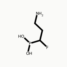 NCCC(F)P(O)O